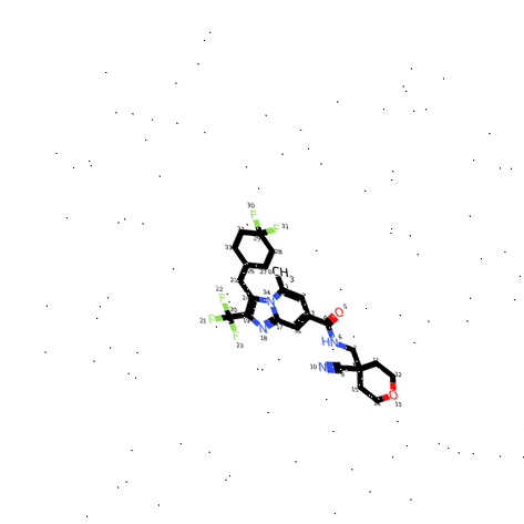 Cc1cc(C(=O)NCC2(C#N)CCOCC2)cc2nc(C(F)(F)F)c(CC3CCC(F)(F)CC3)n12